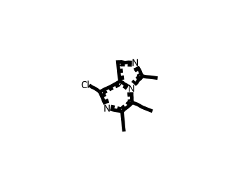 Cc1nc(Cl)c2cnc(C)n2c1C